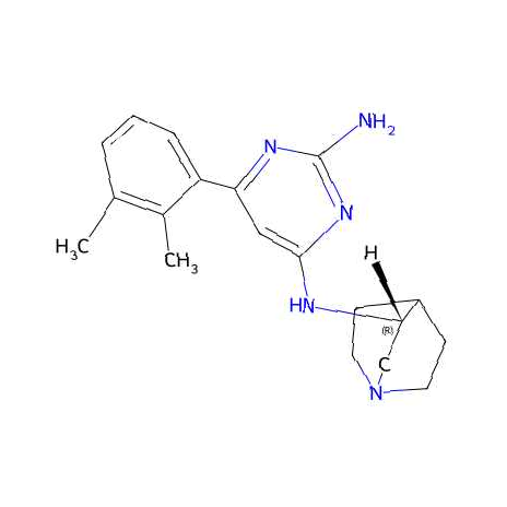 Cc1cccc(-c2cc(N[C@H]3CN4CCC3CC4)nc(N)n2)c1C